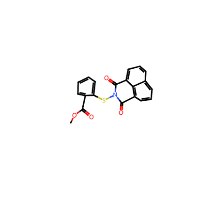 COC(=O)c1ccccc1SN1C(=O)c2cccc3cccc(c23)C1=O